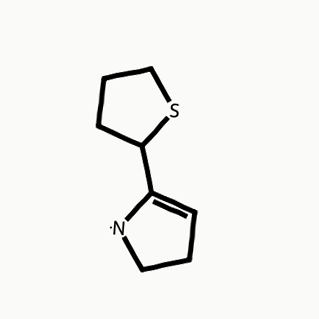 C1=C(C2CCCS2)[N]CC1